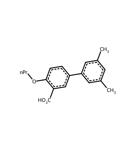 CCCOc1ccc(-c2cc(C)cc(C)c2)cc1C(=O)O